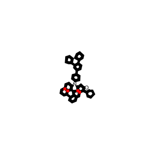 C1=Cc2c(oc3cc(N(c4ccc(-c5ccc(-c6ccccc6)c(-c6ccccc6)c5)cc4)c4ccccc4-c4cccc5cccc(-c6ccccc6)c45)ccc23)CC1